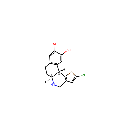 Oc1cc2c(cc1O)[C@@H]1c3sc(Cl)cc3CN[C@H]1CC2